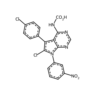 O=C(O)Nc1ncnc2c1c(-c1ccc(Cl)cc1)c(Cl)n2-c1cccc([N+](=O)[O-])c1